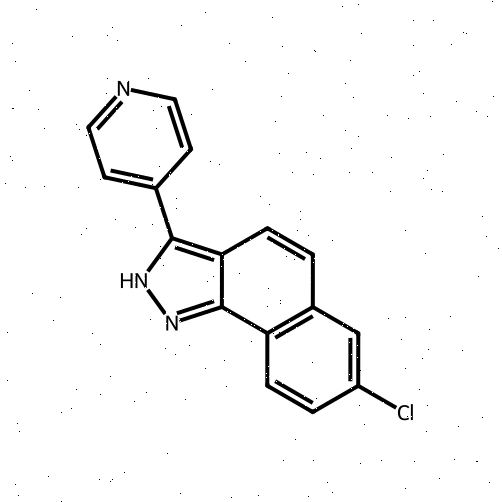 Clc1ccc2c(ccc3c(-c4ccncc4)[nH]nc32)c1